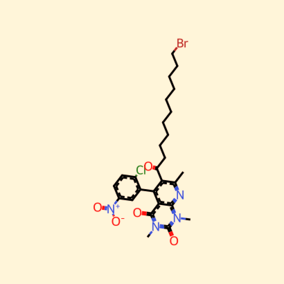 Cc1nc2c(c(-c3cc([N+](=O)[O-])ccc3Cl)c1C(=O)CCCCCCCCCCBr)c(=O)n(C)c(=O)n2C